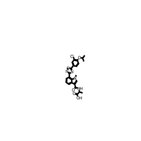 CC(C)Oc1ccc(-c2nc(-c3cccc4c(C(=O)NC(C)C(=O)O)cn(C)c34)no2)cc1Cl